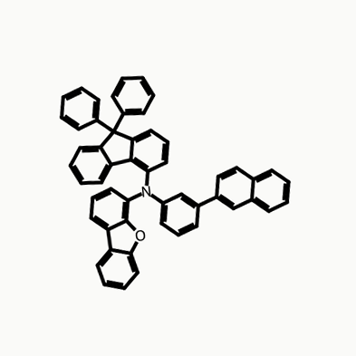 c1ccc(C2(c3ccccc3)c3ccccc3-c3c(N(c4cccc(-c5ccc6ccccc6c5)c4)c4cccc5c4oc4ccccc45)cccc32)cc1